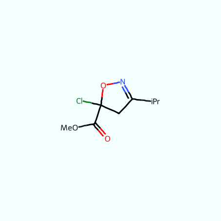 COC(=O)C1(Cl)CC(C(C)C)=NO1